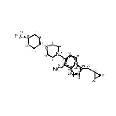 N#Cc1c(N2CCN([C@H]3CC[C@H](C(F)(F)F)CC3)CC2)ccn2c(CC3CC3)nnc12